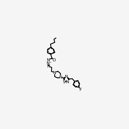 CCCCc1ccc(C(=O)N=[N+]=NCCN2CCN(c3nc(Cc4ccc(F)cc4)ns3)CC2)cc1